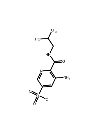 Nc1cc(S(=O)(=O)Cl)cnc1C(=O)NCC(O)C(F)(F)F